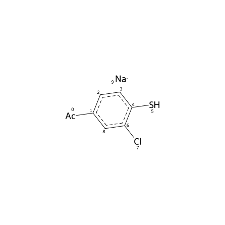 CC(=O)c1ccc(S)c(Cl)c1.[Na]